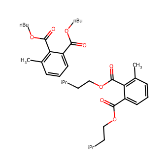 CCCCOC(=O)c1cccc(C)c1C(=O)OCCCC.Cc1cccc(C(=O)OCCC(C)C)c1C(=O)OCCC(C)C